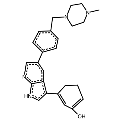 CN1CCN(Cc2ccc(-c3cnc4[nH]cc(C5=CC(O)=CCC5)c4c3)cc2)CC1